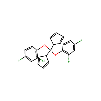 Fc1ccc([O][Zr]([O]c2ccc(F)cc2Cl)([CH]2C=CC=C2)[CH]2C=CC=C2)c(Cl)c1